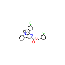 CCCCn1c2ccccc2c2cc(C(=O)OCc3cccc(Cl)c3)nc(-c3ccc(Cl)cc3)c21